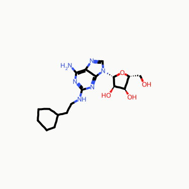 Nc1nc(NCCC2CCCCC2)nc2c1ncn2[C@@H]1O[C@H](CO)[C@@H](O)[C@H]1O